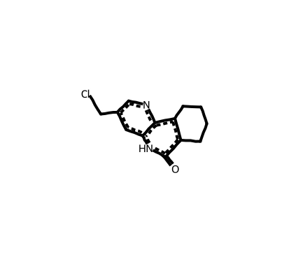 O=c1[nH]c2cc(CCl)cnc2c2c1CCCC2